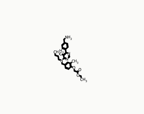 CCCCN(Cc1ccc(OCC(=O)OCC)c(C)c1)c1ncnc(-c2ccc(CN)cc2)c1C